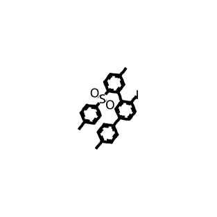 Cc1ccc(-c2ccc(I)c(-c3cc(C)ccc3S(=O)(=O)c3ccc(C)cc3)c2)cc1